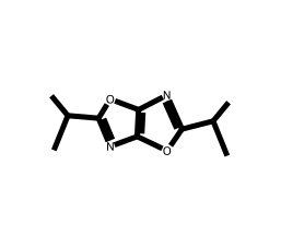 CC(C)c1nc2oc(C(C)C)nc2o1